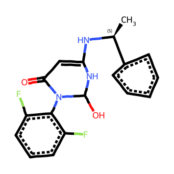 C[C@H](NC1=CC(=O)N(c2c(F)cccc2F)C(O)N1)c1ccccc1